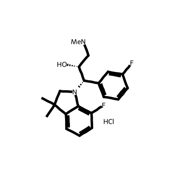 CNC[C@@H](O)[C@H](c1cccc(F)c1)N1CC(C)(C)c2cccc(F)c21.Cl